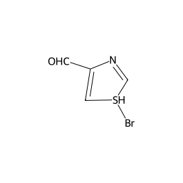 O=CC1=C[SH](Br)C=N1